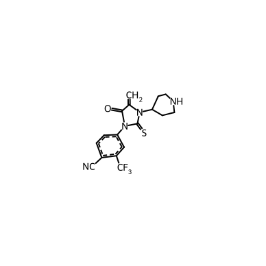 C=C1C(=O)N(c2ccc(C#N)c(C(F)(F)F)c2)C(=S)N1C1CCNCC1